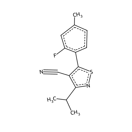 Cc1ccc(-c2snc(C(C)C)c2C#N)c(F)c1